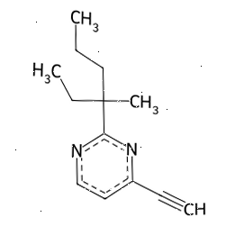 C#Cc1ccnc(C(C)(CC)CCC)n1